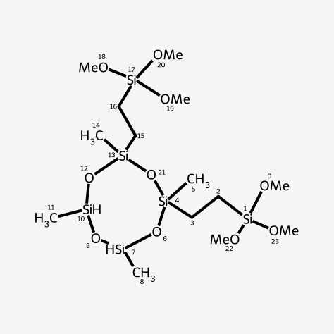 CO[Si](CC[Si]1(C)O[SiH](C)O[SiH](C)O[Si](C)(CC[Si](OC)(OC)OC)O1)(OC)OC